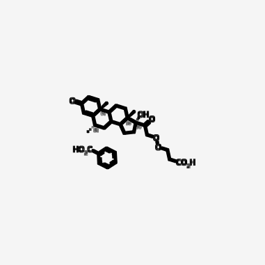 C[C@H]1CC2C(CC[C@@]3(C)C2CC[C@]3(O)C(=O)COOCCC(=O)O)[C@@]2(C)C=CC(=O)C=C12.O=C(O)c1ccccc1